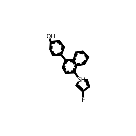 Oc1ccc(-c2ccc([SH]3C=CC(F)=C3)c3ccccc23)cc1